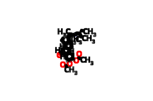 CC[C@H](/C=C/[C@@H](C)[C@H]1CC[C@H]2[C@@H]3CC(=O)[C@H]4C[C@H](OC(C)=O)[C@H](OC(C)=O)C[C@]4(C)[C@H]3CC[C@]12C)C(C)C